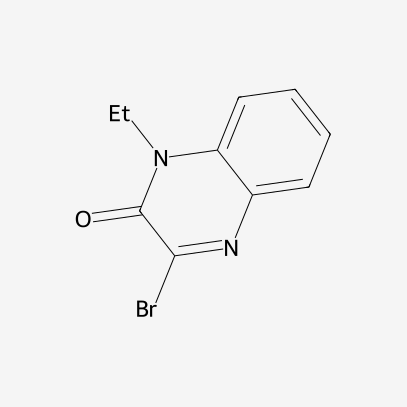 CCn1c(=O)c(Br)nc2ccccc21